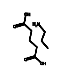 CCCN.O=C(O)CCCC(=O)O